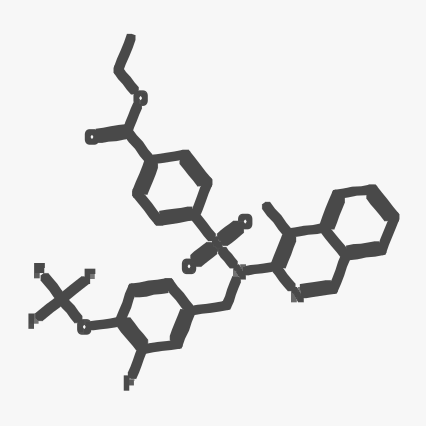 CCOC(=O)c1ccc(S(=O)(=O)N(Cc2ccc(OC(F)(F)F)c(F)c2)c2ncc3ccccc3c2C)cc1